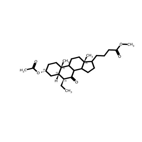 CC[C@@H]1C(=O)C2C3CCC(CCCC(=O)OC)[C@@]3(C)CCC2[C@@]2(C)CC[C@@H](OC(C)=O)C[C@@H]12